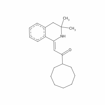 CC1(C)Cc2ccccc2C(=CC(=O)C2CCCCCCC2)N1